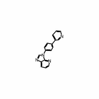 c1cncc(-c2ccc(-n3cnc4cccnc43)cc2)c1